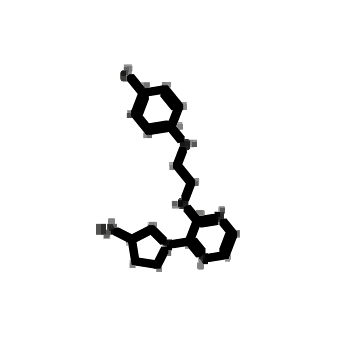 NC1CCN(c2nccnc2OCCOc2ccc(Cl)cc2)C1